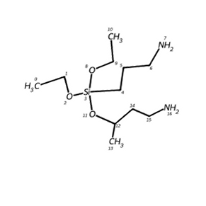 CCO[Si](CCCN)(OCC)OC(C)CCN